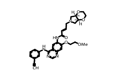 C#Cc1cccc(Nc2ncnc3cc(OCCOC)c(NC(=O)C=CCN4C[C@@H]5OCCO[C@@H]5C4)cc23)c1